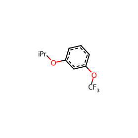 CC(C)Oc1cccc(OC(F)(F)F)c1